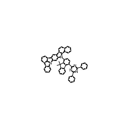 CC1(C)c2ccccc2-c2c(-c3nc(-c4ccccc4)nc(-c4ccccc4)n3)ccc(-n3c4cc5c(cc4c4ccc6ccccc6c43)c3cccc4c6ccccc6n5c43)c21